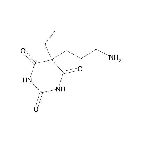 CCC1(CCCN)C(=O)NC(=O)NC1=O